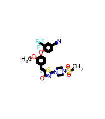 CCS(=O)(=O)N1CCN(C2=NC(=O)/C(=C/c3ccc(Oc4ccc(C#N)cc4C(F)(F)F)c(OC)c3)S2)CC1